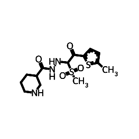 Cc1ccc(C(=O)C(NNC(=O)C2CCCNC2)S(C)(=O)=O)s1